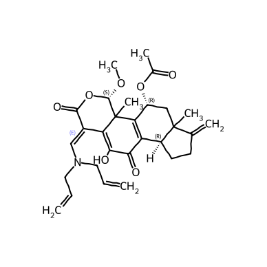 C=CCN(/C=C1/C(=O)O[C@H](OC)C2(C)C1=C(O)C(=O)C1=C2[C@H](OC(C)=O)CC2(C)C(=C)CC[C@@H]12)CC=C